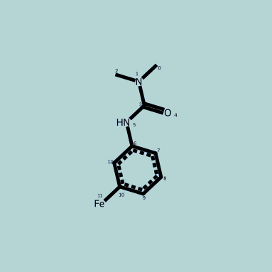 CN(C)C(=O)Nc1ccc[c]([Fe])c1